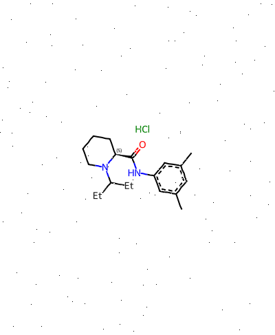 CCC(CC)N1CCCC[C@H]1C(=O)Nc1cc(C)cc(C)c1.Cl